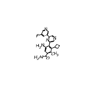 Cc1c(C(N)=O)cc(N)c(-c2cncc(-c3cncc(F)c3)n2)c1C1CCC1